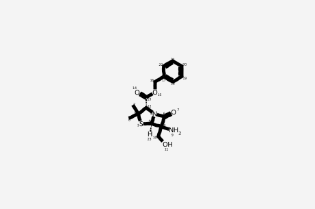 CC1(C)S[C@H]2N(C(=O)C2(N)CO)[C@H]1C(=O)OCc1ccccc1